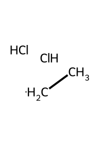 Cl.Cl.[CH2]C